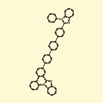 c1ccc(-n2c(-c3ccc(-c4ccc(-c5ccc(-c6ccc7c8ccccc8n8c9ccccc9nc8c7c6)cc5)cc4)cc3)nc3ccccc32)cc1